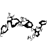 CN1CCN(Cc2ccc(C(=O)Nc3cc(Oc4nc(-c5ccsc5)nc5ccn(C)c45)ccc3Cl)cc2C(F)(F)F)CC1